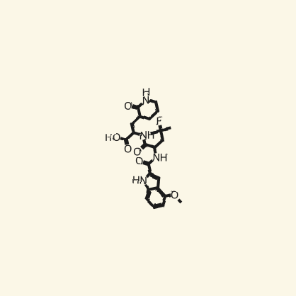 COc1cccc2[nH]c(C(=O)NC(CC(C)(C)F)C(=O)NC(CC3CCCNC3=O)C(=O)O)cc12